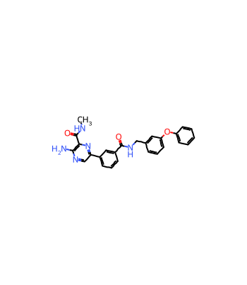 CNC(=O)c1nc(-c2cccc(C(=O)NCc3cccc(Oc4ccccc4)c3)c2)cnc1N